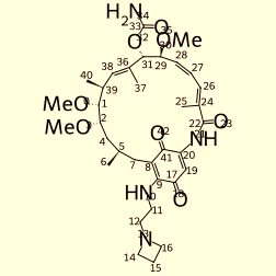 CO[C@H]1[C@@H](OC)C[C@H](C)CC2=C(NCCN3CCC3)C(=O)C=C(NC(=O)/C(C)=C/C=C\[C@H](OC)[C@@H](OC(N)=O)/C(C)=C/[C@@H]1C)C2=O